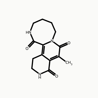 Cc1c2c(c3n(c1=O)CCCCNC3=O)CCNC2=O